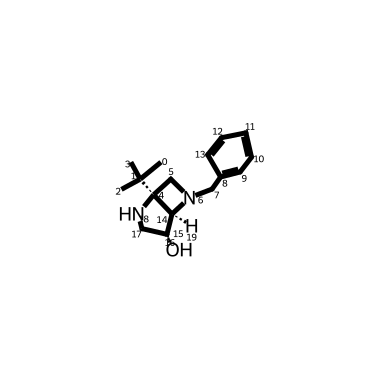 CC(C)(C)[C@]12CN(Cc3ccccc3)[C@H]1[C@H](O)CN2